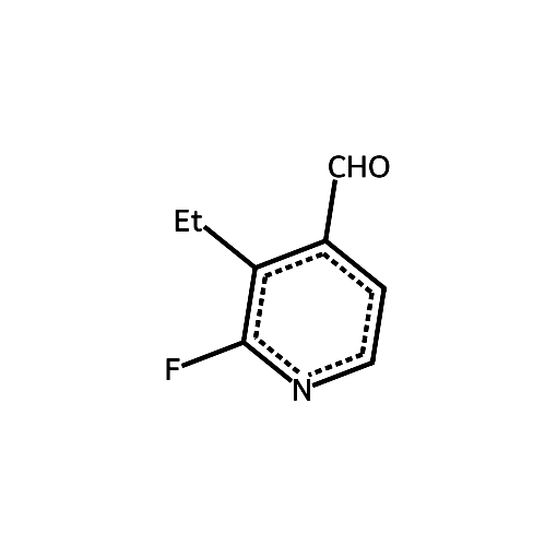 CCc1c(C=O)ccnc1F